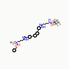 CN(CCCCc1ncc(-c2ccc(-c3ccc4ccc(-c5ccc6nc(CCCCNC(=O)OC(C)(C)C)[nH]c6c5)cc4c3)cc2)[nH]1)C(=O)OCc1ccccc1